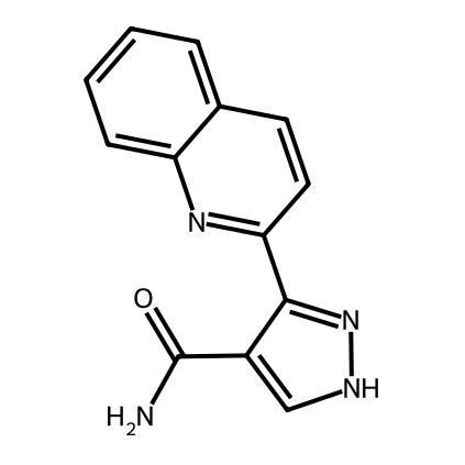 NC(=O)c1c[nH]nc1-c1ccc2ccccc2n1